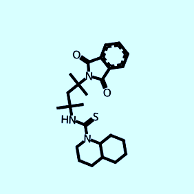 CC(C)(CC(C)(C)N1C(=O)c2ccccc2C1=O)NC(=S)N1CCCC2CCCCC21